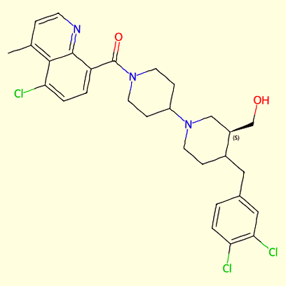 Cc1ccnc2c(C(=O)N3CCC(N4CCC(Cc5ccc(Cl)c(Cl)c5)[C@H](CO)C4)CC3)ccc(Cl)c12